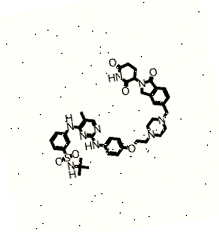 Cc1cnc(Nc2ccc(OCCN3CCN(Cc4ccc5c(c4)CN(C4CCC(=O)NC4=O)C5=O)CC3)cc2)nc1Nc1cccc(S(=O)(=O)NC(C)(C)C)c1